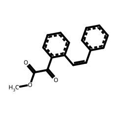 COC(=O)C(=O)c1ccccc1/C=C\c1ccccc1